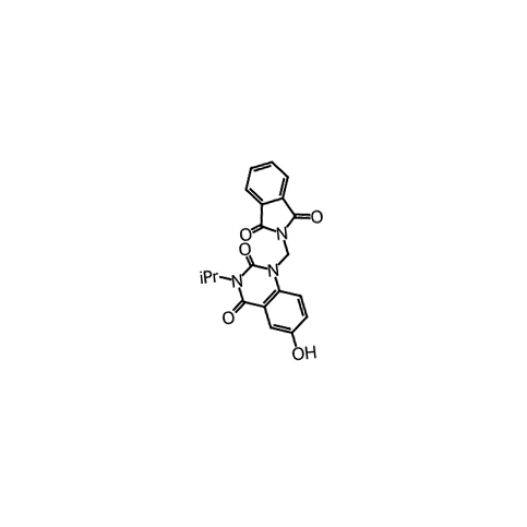 CC(C)n1c(=O)c2cc(O)ccc2n(CN2C(=O)c3ccccc3C2=O)c1=O